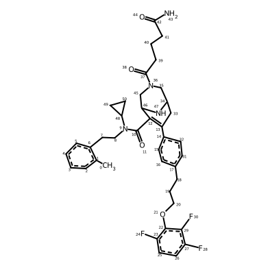 Cc1ccccc1CCN(C(=O)C1=C(c2ccc(CCCOc3c(F)ccc(F)c3F)cc2)CC2CN(C(=O)CCCC(N)=O)CC1N2)C1CC1